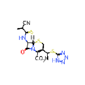 CC(C#N)C(=S)NC1C(=O)N2C(C(=O)O)=C(C(C)Sc3nnn[nH]3)CS[C@@H]12